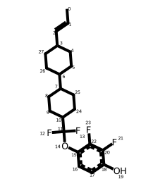 C/C=C/C1CCC(C2CCC(C(F)(F)Oc3ccc(O)c(F)c3F)CC2)CC1